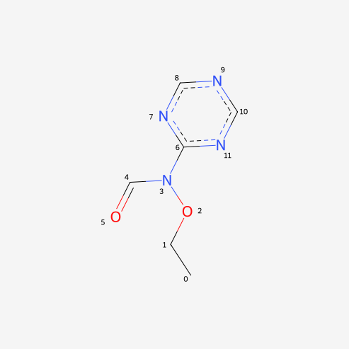 CCON(C=O)c1ncncn1